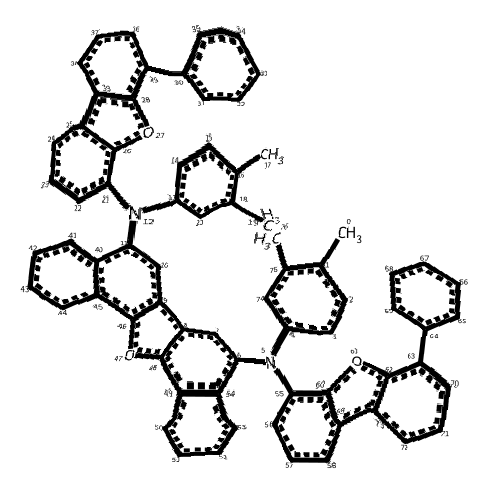 Cc1ccc(N(c2cc3c4cc(N(c5ccc(C)c(C)c5)c5cccc6c5oc5c(-c7ccccc7)cccc56)c5ccccc5c4oc3c3ccccc23)c2cccc3c2oc2c(-c4ccccc4)cccc23)cc1C